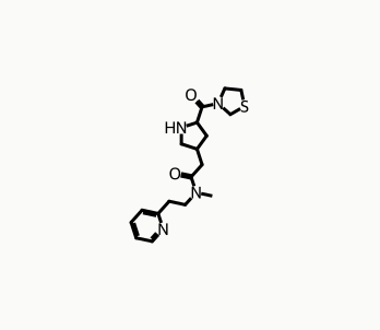 CN(CCc1ccccn1)C(=O)CC1CNC(C(=O)N2CCSC2)C1